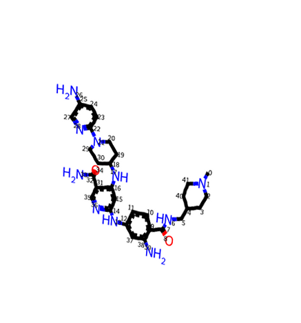 CN1CCC(CNC(=O)c2ccc(Nc3cc(NC4CCN(c5ccc(N)cn5)CC4)c(C(N)=O)cn3)cc2N)CC1